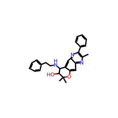 Cc1nc2cc3c(cc2nc1-c1ccccc1)C(NCCc1ccccc1)C(O)C(C)(C)O3